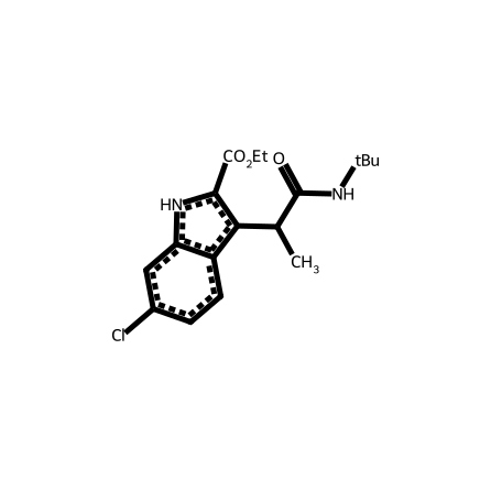 CCOC(=O)c1[nH]c2cc(Cl)ccc2c1C(C)C(=O)NC(C)(C)C